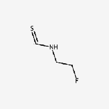 FCCN[C]=S